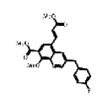 COC(=O)/C=C/c1cc(C(=O)OC)c(OC)c2ncc(Cc3ccc(F)cc3)cc12